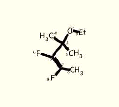 CCOC(C)(C)/C(F)=C(\C)F